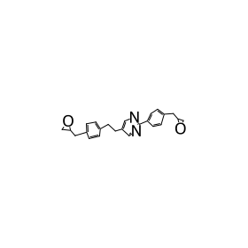 c1cc(CC2CO2)ccc1CCc1cnc(-c2ccc(CC3CO3)cc2)nc1